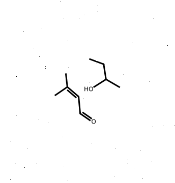 CC(C)=CC=O.CCC(C)O